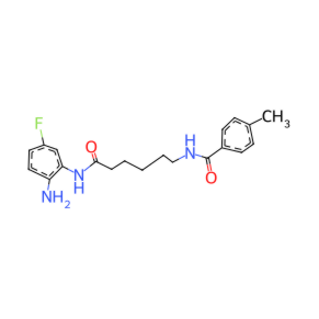 Cc1ccc(C(=O)NCCCCCC(=O)Nc2cc(F)ccc2N)cc1